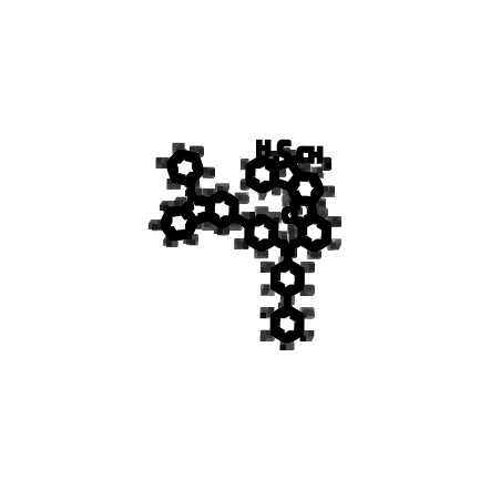 CC1(C)c2ccccc2-c2c1ccc1c2oc2c(N(c3ccc(-c4ccccc4)cc3)c3ccc(-c4ccc5c(c4)c4ccccc4n5-c4ccccc4)cc3)cccc21